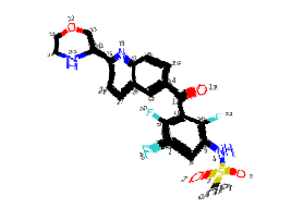 CCCS(=O)(=O)Nc1cc(F)c(F)c(C(=O)c2ccc3nc(C4COCCN4)ccc3c2)c1F